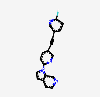 Fc1ccc(C#Cc2ccc(-n3ccc4ccncc43)nc2)cn1